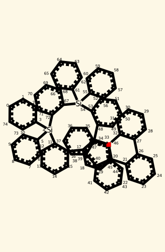 c1ccc([Si]2(c3ccccc3)c3ccccc3-c3ccc(-c4ccccc4-c4ccccc4-n4c5ccccc5c5ccccc54)cc3-c3ccccc3[Si](c3ccccc3)(c3ccccc3)c3ccccc32)cc1